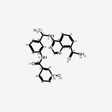 CC(Nc1ncnc2c(C(N)=O)cccc12)c1cccc(NC(=O)c2ccc[n+]([O-])c2)c1